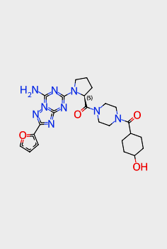 Nc1nc(N2CCC[C@H]2C(=O)N2CCN(C(=O)C3CCC(O)CC3)CC2)nc2nc(-c3ccco3)nn12